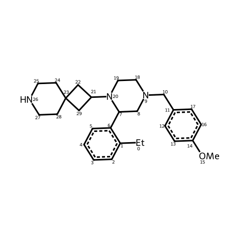 CCc1ccccc1C1CN(Cc2ccc(OC)cc2)CCN1C1CC2(CCNCC2)C1